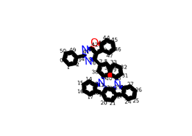 c1ccc(-c2nc(-c3cccc(-n4c5ccccc5c5ccc6c7ccccc7n(-c7ccccc7)c6c54)c3)c3c(n2)oc2ccccc23)cc1